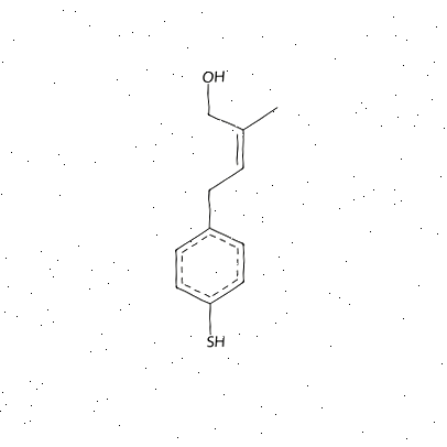 CC(=CCc1ccc(S)cc1)CO